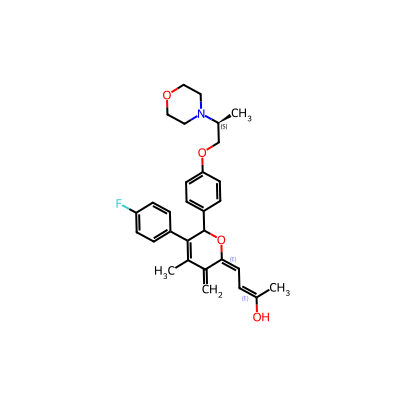 C=C1C(C)=C(c2ccc(F)cc2)C(c2ccc(OC[C@H](C)N3CCOCC3)cc2)O/C1=C/C=C(\C)O